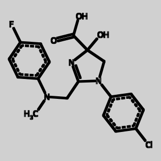 CN(CC1=NC(O)(C(=O)O)CN1c1ccc(Cl)cc1)c1ccc(F)cc1